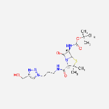 CC(C)(C)OC(=O)N[C@@H]1C(=O)N2C1SC(C)(C)[C@@H]2C(=O)NCCCn1cc(CO)nn1